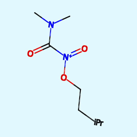 CC(C)CCO[N+](=O)C(=O)N(C)C